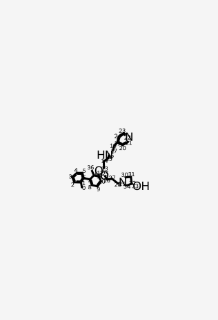 Cc1ccccc1C1=CC=CC(OCCCNCCc2ccncc2)(OCCCN2CC[C@@H](O)C2)C1C